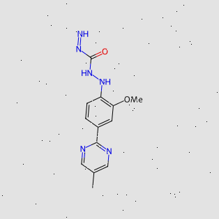 COc1cc(-c2ncc(C)cn2)ccc1NNC(=O)N=N